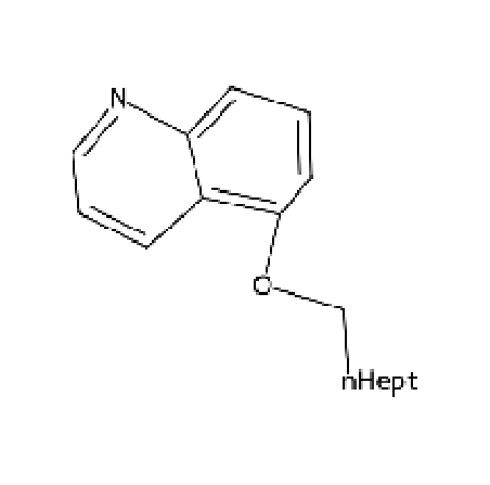 CCCCCCCCOc1cccc2ncccc12